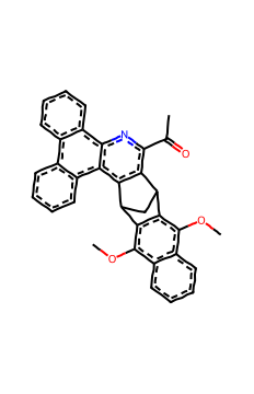 COc1c2c(c(OC)c3ccccc13)C1CC2c2c(C(C)=O)nc3c4ccccc4c4ccccc4c3c21